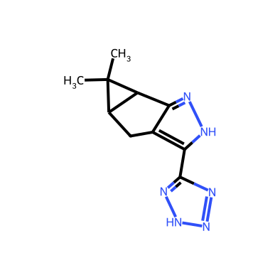 CC1(C)C2Cc3c(n[nH]c3-c3nn[nH]n3)C21